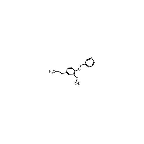 C=CCc1ccc(OCc2ccccc2)c(OC)c1